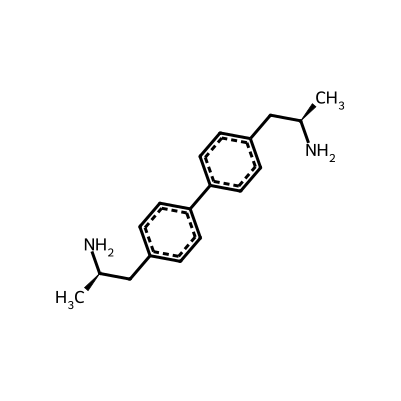 C[C@@H](N)Cc1ccc(-c2ccc(C[C@@H](C)N)cc2)cc1